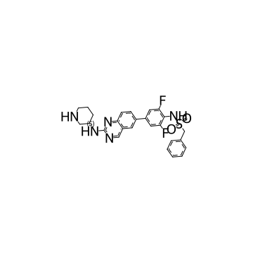 O=S(=O)(Cc1ccccc1)Nc1c(F)cc(-c2ccc3nc(N[C@H]4CCCNC4)ncc3c2)cc1F